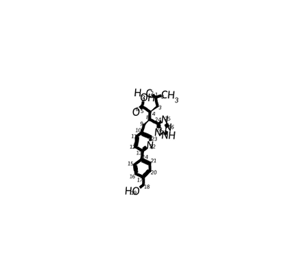 CC(C)C[C@H](C(=O)O)[C@H](Cc1ccc(-c2ccc(CO)cc2)nc1)c1nn[nH]n1